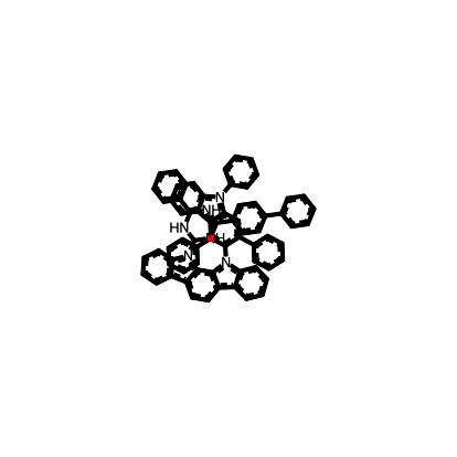 c1ccc(-c2ccc(C3NC(c4ccccc4)NC(n4c5ccccc5c5ccc6c7ccccc7n(-c7c(-c8ccccc8)cc8c(c7-c7ccccc7)c7ccccc7n8-c7ccccc7)c6c54)N3)cc2)cc1